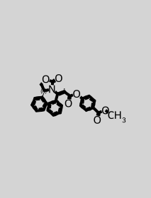 COC(=O)c1ccc(OC(=O)[C]=C(c2ccccc2)N2C(=O)OC[C@H]2c2ccccc2)cc1